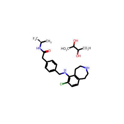 C[C@@H](NC(=O)Cc1ccc(CNc2c(Cl)ccc3c2CCNCC3)cc1)C(F)(F)F.O=C(O)C(O)C(O)C(=O)O